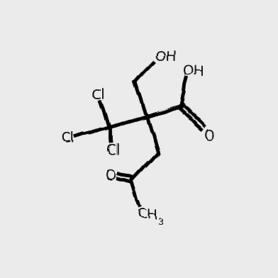 CC(=O)CC(CO)(C(=O)O)C(Cl)(Cl)Cl